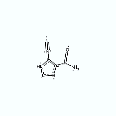 N#[N+]c1[nH]cnc1C(N)=O